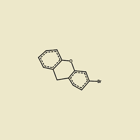 Brc1ccc2c(c1)Oc1ccccc1C2